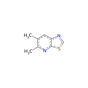 Cc1cc2ncsc2nc1C